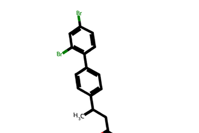 COC(=O)CC(C)c1ccc(-c2ccc(Br)cc2Br)cc1